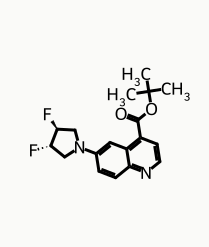 CC(C)(C)OC(=O)c1ccnc2ccc(N3C[C@H](F)[C@@H](F)C3)cc12